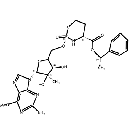 COc1nc(N)nc2c1ncn2[C@@H]1OC(CO[P@@]2(=O)N[C@@H](C(=O)O[C@@H](C)c3ccccc3)CCS2)[C@@H](O)[C@@]1(C)O